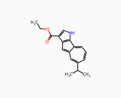 CCOC(=O)c1c[nH]c2c3cccc(C(C)C)cc-3cc12